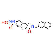 O=C(NO)c1ccc2c(c1)CC[C@]1(CCN(Cc3ccc4ccccc4c3)C1=O)C2